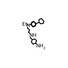 CCN(CCCNCC1CCC(N)CC1)c1ccc(C2CCCCC2)cc1